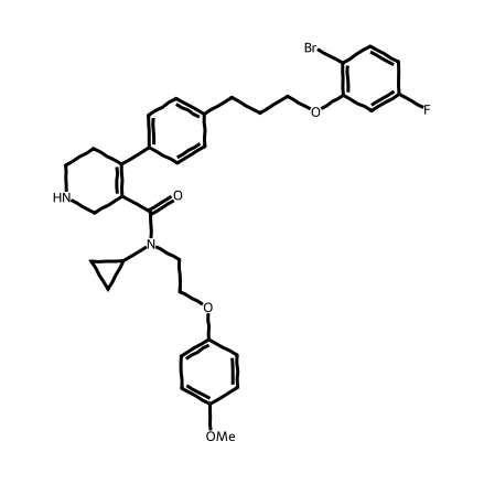 COc1ccc(OCCN(C(=O)C2=C(c3ccc(CCCOc4cc(F)ccc4Br)cc3)CCNC2)C2CC2)cc1